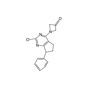 O=C1CN(c2nc(Cl)nc3c2CCC3c2ccccc2)C1